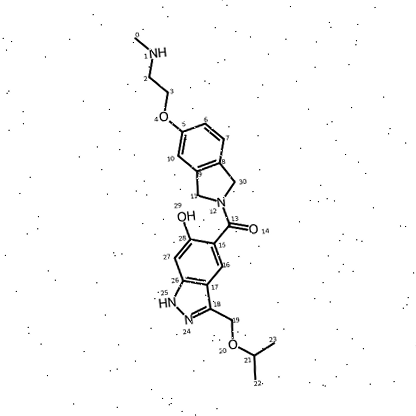 CNCCOc1ccc2c(c1)CN(C(=O)c1cc3c(COC(C)C)n[nH]c3cc1O)C2